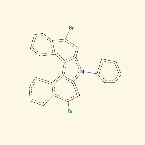 Brc1cc2c(c3ccccc13)c1c3ccccc3c(Br)cc1n2-c1ccccc1